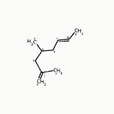 C=C(C)CC(C)CC=CC